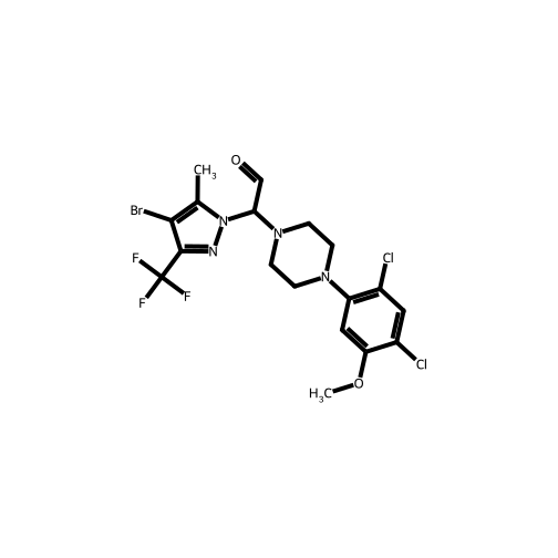 COc1cc(N2CCN(C(C=O)n3nc(C(F)(F)F)c(Br)c3C)CC2)c(Cl)cc1Cl